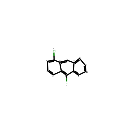 Clc1cccc2c(Cl)c3ccccc3cc12